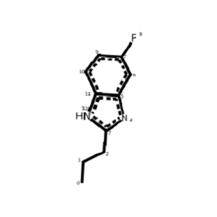 CCCc1nc2cc(F)ccc2[nH]1